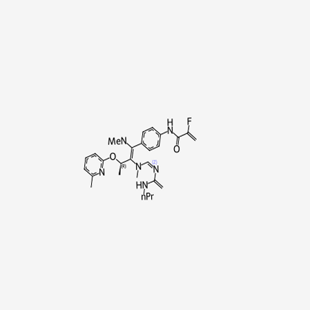 C=C(/N=C\N(C)C(=C(NC)c1ccc(NC(=O)C(=C)F)cc1)[C@@H](C)Oc1cccc(C)n1)NCCC